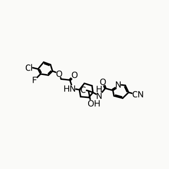 N#Cc1ccc(C(=O)NC23CCC(NC(=O)COc4ccc(Cl)c(F)c4)(CC2)CC3O)nc1